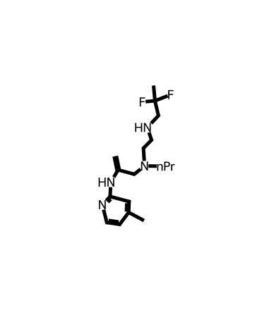 C=C(CN(CCC)CCNCC(C)(F)F)Nc1cc(C)ccn1